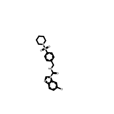 O=C(NCc1ccc(S(=O)(=O)N2CCCCC2)cc1)n1cnc2ccc(Cl)cc21